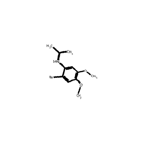 COc1cc(Br)c(NC(C)C)cc1OC